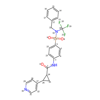 O=C(Nc1ccc(S(=O)(=O)N(Cc2ccccc2)C(F)(F)F)cc1)C1CC1c1ccncc1